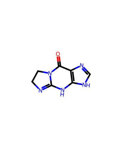 O=C1c2nc[nH]c2NC2=NCCN12